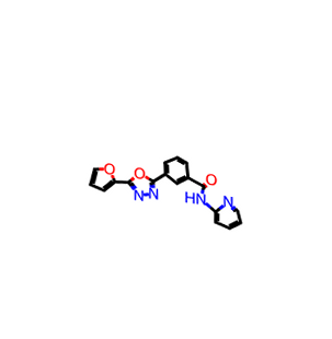 O=C(Nc1ccccn1)c1cccc(-c2nnc(-c3ccco3)o2)c1